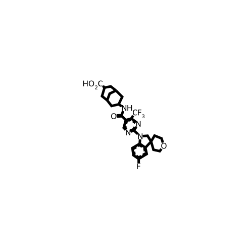 O=C(NC1CC2CC(C1)CC(C(=O)O)C2)c1cnc(N2CC3(CCOCC3)c3cc(F)ccc32)nc1C(F)(F)F